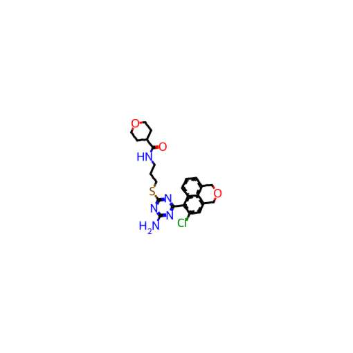 Nc1nc(SCCCNC(=O)C2CCOCC2)nc(-c2c(Cl)cc3c4c(cccc24)COC3)n1